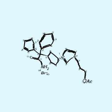 CC(=O)OCCCn1cc[n+]([C@@H]2CC[C@@H](C(C(N)=O)(c3ccccc3)c3ccccc3)C2)c1.[Br-]